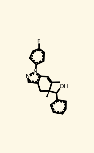 CC1=Cc2c(cnn2-c2ccc(F)cc2)C[C@@]1(C)C(O)c1ccccc1